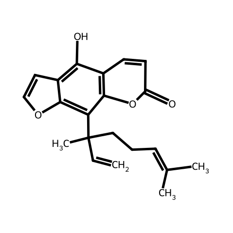 C=CC(C)(CCC=C(C)C)c1c2occc2c(O)c2ccc(=O)oc12